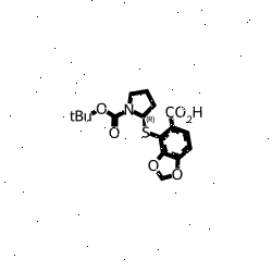 CC(C)(C)OC(=O)N1CCC[C@H]1Sc1c(C(=O)O)ccc2c1OCO2